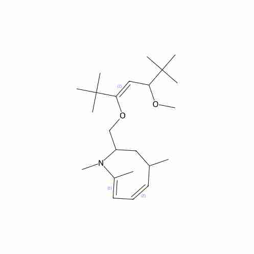 COC(/C=C(\OCC1CC(C)/C=C\C=C(/C)N1C)C(C)(C)C)C(C)(C)C